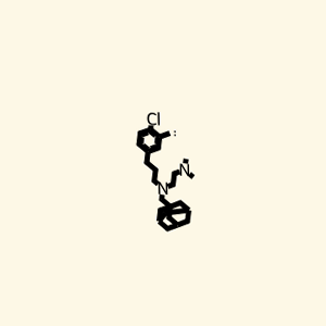 [CH]c1cc(CCCN(CCN(C)C)CC23CC4CC(CC(C4)C2)C3)ccc1Cl